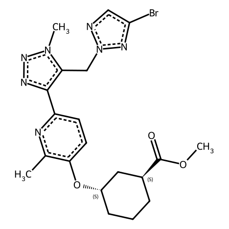 COC(=O)[C@H]1CCC[C@H](Oc2ccc(-c3nnn(C)c3Cn3ncc(Br)n3)nc2C)C1